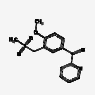 COc1ccc(C(=O)c2ccccn2)cc1CS(C)(=O)=O